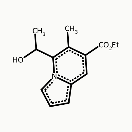 CCOC(=O)c1cc2cccn2c(C(C)O)c1C